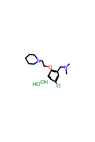 CN(C)Cc1cc(Cl)ccc1OCCN1CCCCC1.Cl.Cl